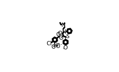 CCN(C)CCN1C(=O)[C@H](OC(=O)c2ccc(Cl)c([N+](=O)[O-])c2)[C@H](c2ccc(OC)cc2)Sc2ccccc21